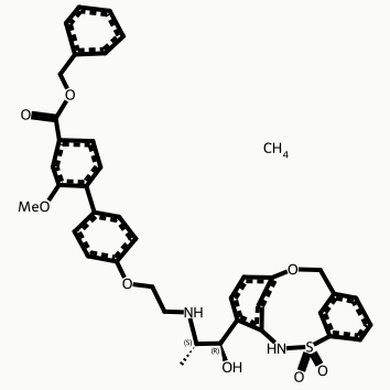 C.COc1cc(C(=O)OCc2ccccc2)ccc1-c1ccc(OCCN[C@@H](C)[C@H](O)c2ccc3cc2NS(=O)(=O)c2cccc(c2)CO3)cc1